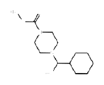 CC(C)(C)OC(=O)N1CCN(C(C=O)C2CCCCC2)CC1